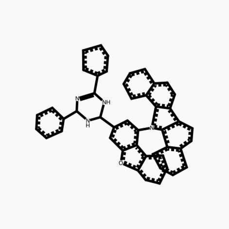 c1ccc(C2=NC(c3ccccc3)NC(c3cc(-n4c5c6ccccc6ccc5c5ccc6ccccc6c54)c4c(c3)oc3ccccc34)N2)cc1